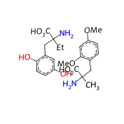 CCC(N)(Cc1cc(O)ccc1O)C(=O)O.COc1ccc(CC(C)(N)C(=O)O)c(OC)c1